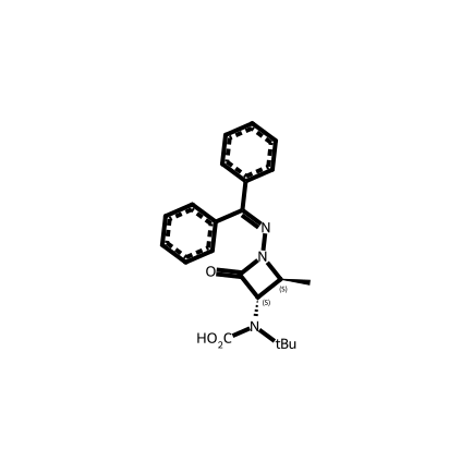 C[C@H]1[C@H](N(C(=O)O)C(C)(C)C)C(=O)N1N=C(c1ccccc1)c1ccccc1